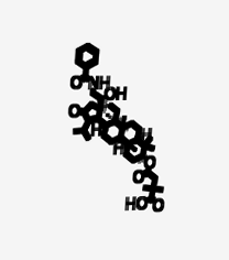 CC(C)C1=C2[C@H]3CC[C@@H]4[C@@]5(C)CC[C@H](OC(=O)CC(C)(C)C(=O)O)C(C)(C)[C@@H]5CC[C@@]4(C)[C@]3(C)CC[C@@]2([C@@H](O)CNC(=O)c2ccccc2)CC1=O